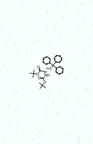 CC(C)(C)OC(=O)N[C@@H](CSC(c1ccccc1)(c1ccccc1)c1ccccc1)C(=O)OC(C)(C)C